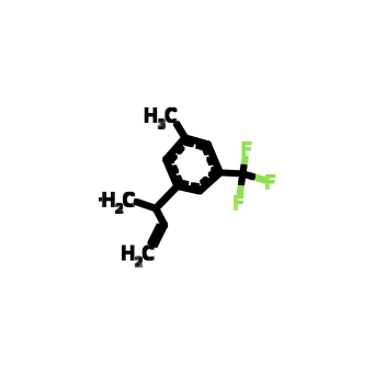 [CH2]C(C=C)c1cc(C)cc(C(F)(F)F)c1